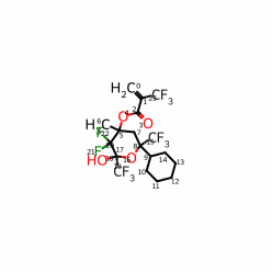 C=C(C(=O)OC1(C)CC(C2CCCCC2)(C(F)(F)F)OC(O)(C(F)(F)F)C1(F)F)C(F)(F)F